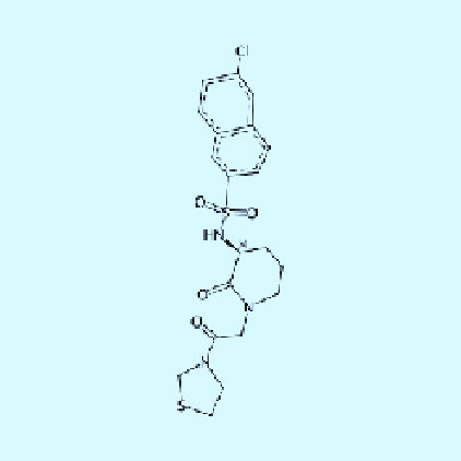 O=C(CN1CCC[C@H](NS(=O)(=O)c2ccc3cc(Cl)ccc3c2)C1=O)N1CCSC1